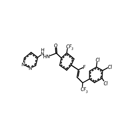 O=C(NNc1ccnnc1)c1ccc(C(F)=CC(c2cc(Cl)c(Cl)c(Cl)c2)C(F)(F)F)cc1C(F)(F)F